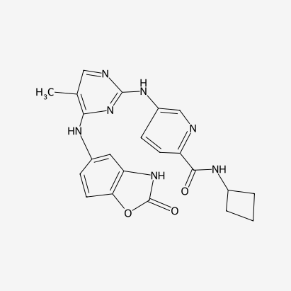 Cc1cnc(Nc2ccc(C(=O)NC3CCC3)nc2)nc1Nc1ccc2oc(=O)[nH]c2c1